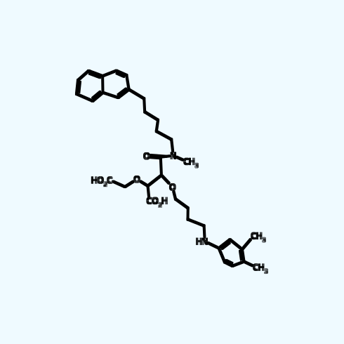 Cc1ccc(NCCCCOC(C(=O)N(C)CCCCCc2ccc3ccccc3c2)C(OCC(=O)O)C(=O)O)cc1C